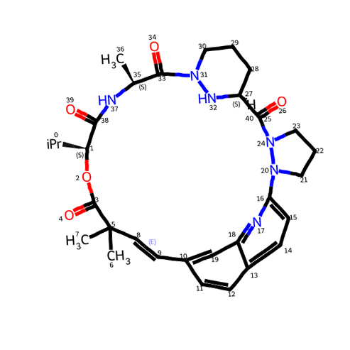 CC(C)[C@@H]1OC(=O)C(C)(C)/C=C/c2ccc3ccc(nc3c2)N2CCCN2C(=O)[C@@H]2CCCN(N2)C(=O)[C@H](C)NC1=O